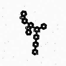 c1ccc(-c2cc(-c3ccc(-c4ccc5oc6ccccc6c5c4)c4oc5ccccc5c34)nc(-c3ccc(-c4ccc(-c5cccnc5)cc4)cc3)n2)cc1